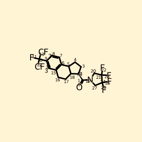 O=C([C@@H]1CCC2c3ccc(C(F)(C(F)(F)F)C(F)(F)F)cc3CCC21)N1CC(F)(F)C(F)(F)C1